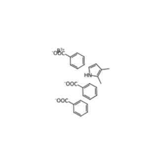 Cc1cc[nH]c1C.O=C([O-])c1ccccc1.O=C([O-])c1ccccc1.O=C([O-])c1ccccc1.[B+3]